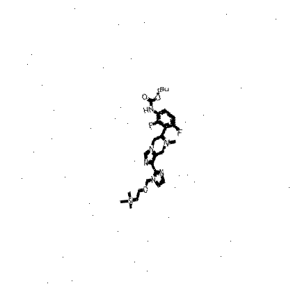 CN1Cc2c(-c3nccn3COCC[Si](C)(C)C)ncn2CC1c1c(F)ccc(NC(=O)OC(C)(C)C)c1F